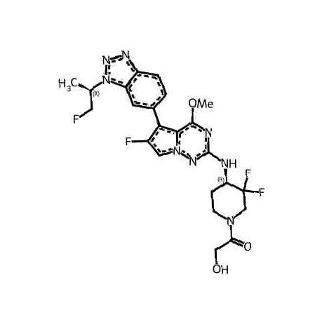 COc1nc(N[C@@H]2CCN(C(=O)CO)CC2(F)F)nn2cc(F)c(-c3ccc4nnn([C@H](C)CF)c4c3)c12